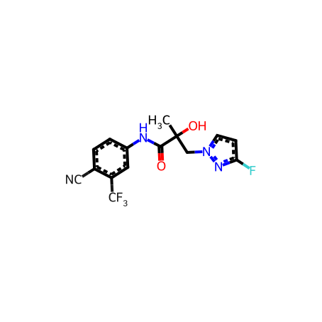 CC(O)(Cn1ccc(F)n1)C(=O)Nc1ccc(C#N)c(C(F)(F)F)c1